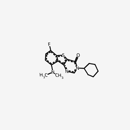 CN(C)c1ccc(F)c2sc3c(=O)n(C4CCCCC4)cnc3c12